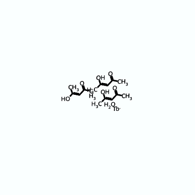 CC(=O)/C=C(/C)O.CC(=O)/C=C(/C)O.CC(=O)/C=C(\C)O.O.[Tb]